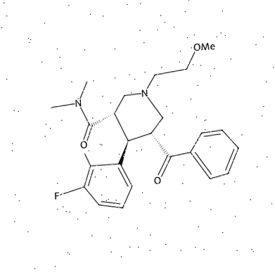 COCCN1C[C@H](C(=O)c2ccccc2)[C@@H](c2cccc(F)c2C)[C@H](C(=O)N(C)C)C1